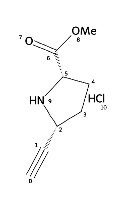 C#C[C@H]1CC[C@@H](C(=O)OC)N1.Cl